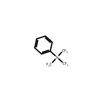 FC(F)(F)[Si](c1ccccc1)(C(F)(F)F)C(F)(F)F